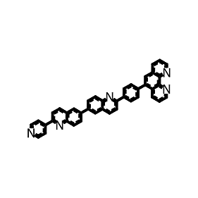 c1cnc2c(c1)cc(-c1ccc(-c3ccc4cc(-c5ccc6nc(-c7ccncc7)ccc6c5)ccc4n3)cc1)c1cccnc12